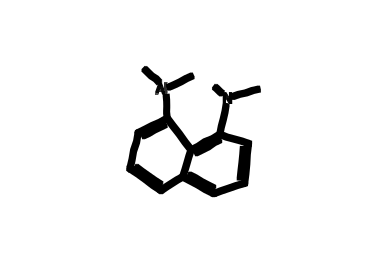 CN(C)c1cccc2ccc[c]([Al]([CH3])[CH3])c12